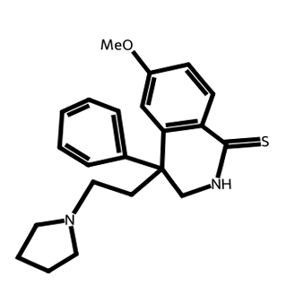 COc1ccc2c(c1)C(CCN1CCCC1)(c1ccccc1)CNC2=S